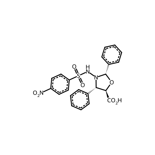 O=C(O)[C@@H]1O[C@@H](c2ccccc2)N(NS(=O)(=O)c2ccc([N+](=O)[O-])cc2)[C@H]1c1ccccc1